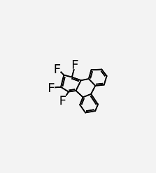 Fc1c(F)c(F)c2c3ccccc3c3ccccc3c2c1F